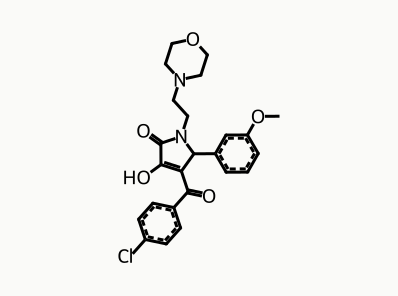 COc1cccc(C2C(C(=O)c3ccc(Cl)cc3)=C(O)C(=O)N2CCN2CCOCC2)c1